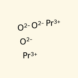 [O-2].[O-2].[O-2].[Pr+3].[Pr+3]